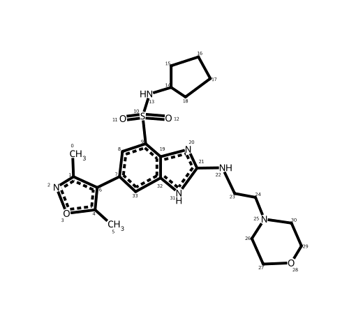 Cc1noc(C)c1-c1cc(S(=O)(=O)NC2CCCC2)c2nc(NCCN3CCOCC3)[nH]c2c1